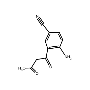 CC(=O)CC(=O)c1cc(C#N)ccc1N